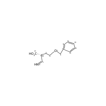 N=C[C@@H](CCOCc1ccccc1)C(=O)O